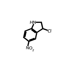 O=[N+]([O-])c1ccc2c(c1)C(Cl)CN2